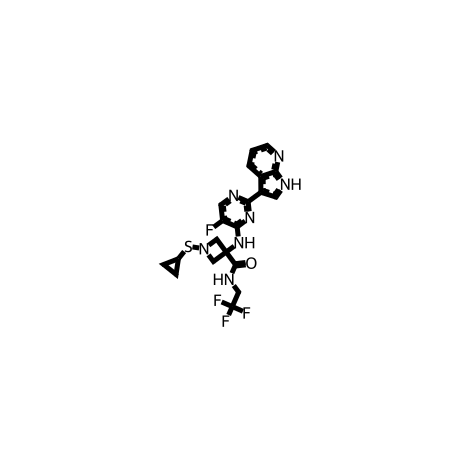 O=C(NCC(F)(F)F)C1(Nc2nc(-c3c[nH]c4ncccc34)ncc2F)CN(SC2CC2)C1